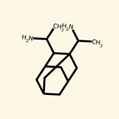 CC(N)C1C2CC3CC(C2)CC1(C(C)N)C3